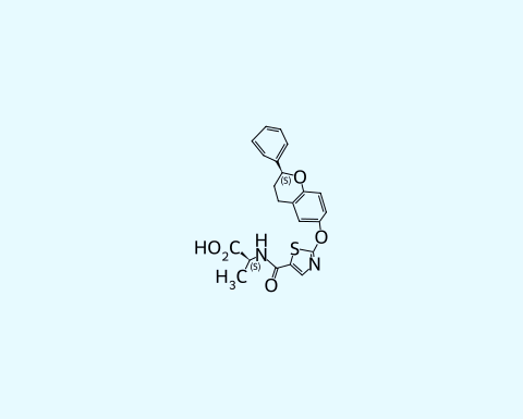 C[C@H](NC(=O)c1cnc(Oc2ccc3c(c2)CC[C@@H](c2ccccc2)O3)s1)C(=O)O